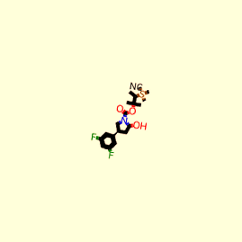 CC(C(C)(C)OC(=O)N1C[C@H](c2cc(F)cc(F)c2)CC1O)S(C)(C)C#N